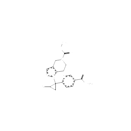 COC(=O)c1ccc(C2(n3ncc4c3CCN(C(=O)OC(C)(C)C)C4)CC2N)nc1